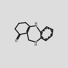 O=C1CCCC2=C1CNc1ccccc1N2